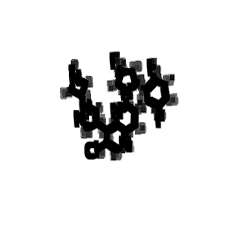 CN1CC(n2cc(-c3c(Cl)cnc4ccc(N5C[C@@H](F)C[C@@H]5c5cc(F)ccc5F)nc34)cn2)C1